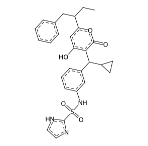 CCC(Cc1ccccc1)c1cc(O)c(C(c2cccc(NS(=O)(=O)c3ncc[nH]3)c2)C2CC2)c(=O)o1